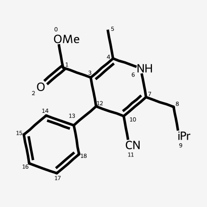 COC(=O)C1=C(C)NC(CC(C)C)=C(C#N)C1c1ccccc1